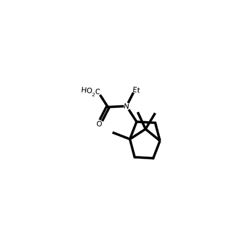 CCN(C(=O)C(=O)O)C1CC2CCC1(C)C2(C)C